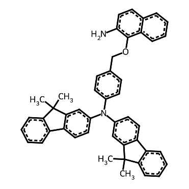 CC1(C)c2ccccc2-c2ccc(N(c3ccc(COc4c(N)ccc5ccccc45)cc3)c3ccc4c(c3)C(C)(C)c3ccccc3-4)cc21